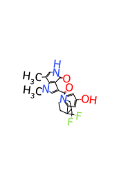 Cc1c[nH]c(=O)c2c(C(=O)N3CCC4(c5cccc(O)c5)C(C3)C4(F)F)cn(C)c12